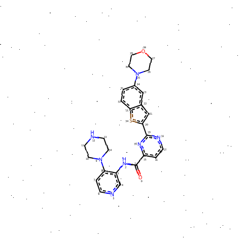 O=C(Nc1cnccc1N1CCNCC1)c1ccnc(-c2cc3cc(N4CCOCC4)ccc3s2)n1